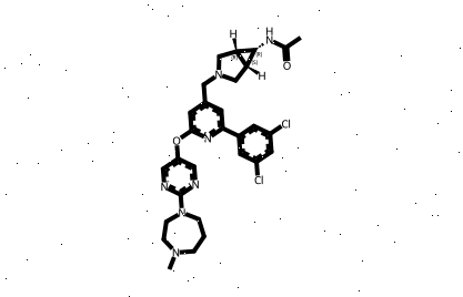 CC(=O)N[C@@H]1[C@@H]2CN(Cc3cc(Oc4cnc(N5CCCN(C)CC5)nc4)nc(-c4cc(Cl)cc(Cl)c4)c3)C[C@@H]21